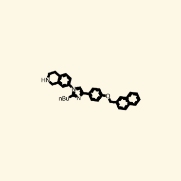 CCCCc1nc(-c2ccc(OCc3ccc4ccccc4c3)cc2)cn1-c1ccc2c(c1)CNCC2